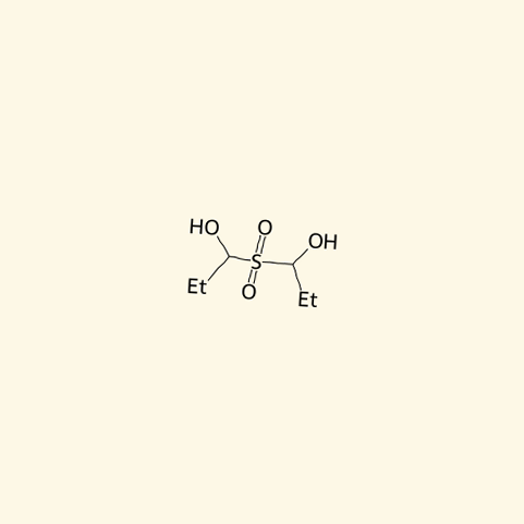 CCC(O)S(=O)(=O)C(O)CC